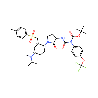 Cc1ccc(S(=O)(=O)C[C@@H]2C[C@H](N(C)C(C)C)CC[C@@H]2N2CCC(NC(=O)N(C(=O)OC(C)(C)C)c3ccc(OC(F)(F)F)cc3)C2=O)cc1